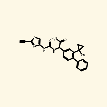 C#Cc1nc(NC(=O)NC(C(N)=O)c2ccc(-c3ccccc3)c(C3(C#N)CC3)c2)cs1